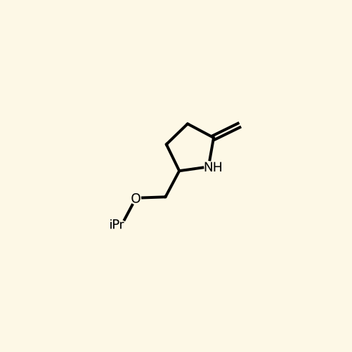 C=C1CCC(COC(C)C)N1